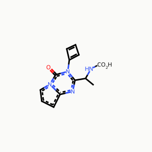 CC(NC(=O)O)c1nc2cccn2c(=O)n1C1=CC=C1